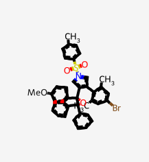 COc1ccc(C2(c3cn(S(=O)(=O)c4ccc(C)cc4)cc3-c3c(C)cc(Br)cc3C)OC2(c2ccccc2)c2ccccc2)cc1